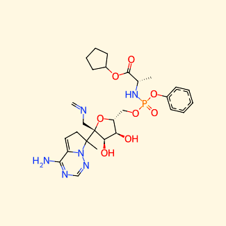 C=NC[C@@]1(C2(C)CC=C3C(N)=NC=NN32)O[C@H](COP(=O)(N[C@@H](C)C(=O)OC2CCCC2)Oc2ccccc2)[C@@H](O)[C@H]1O